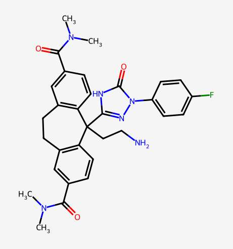 CN(C)C(=O)c1ccc2c(c1)CCc1cc(C(=O)N(C)C)ccc1C2(CCN)c1nn(-c2ccc(F)cc2)c(=O)[nH]1